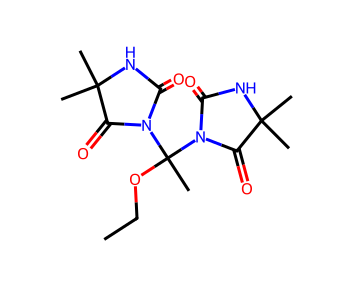 CCOC(C)(N1C(=O)NC(C)(C)C1=O)N1C(=O)NC(C)(C)C1=O